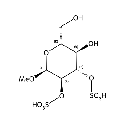 CO[C@H]1O[C@H](CO)[C@@H](O)[C@H](OS(=O)(=O)O)[C@H]1OS(=O)(=O)O